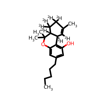 [2H]C1=C(C)C([2H])([2H])C([2H])([2H])[C@@]2([2H])C(C)(C)Oc3cc(CCCCC)cc(O)c3[C@]12[2H]